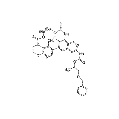 Cc1c(-c2cc3cc(NC(=O)OC(C)COCc4ccccc4)ncc3c(NC(=O)OC(C)(C)C)c2F)cnc2c1N(C(=O)OC(C)(C)C)CCO2